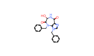 O=C1NC(O)C(=O)N(Cc2ccccc2)c2c1ncn2Cc1ccccc1